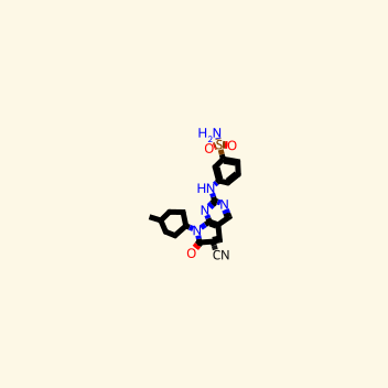 CC1CCC(n2c(=O)c(C#N)cc3cnc(Nc4cccc(S(N)(=O)=O)c4)nc32)CC1